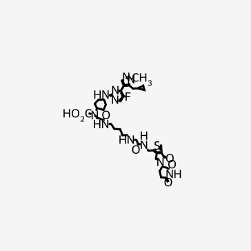 Cn1ncc(-c2nc(NC3CCC(N(CC(=O)NCCCCCNCC(=O)NCc4scc5c4CN(C4CCC(=O)NC4=O)C5=O)C(=O)O)CC3)ncc2F)c1CC1CC1